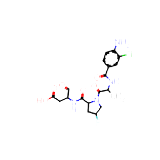 CC(NC(=O)c1ccc(N)c(Cl)c1)C(=O)N1CC(F)CC1C(=O)NC(C=O)CC(=O)O